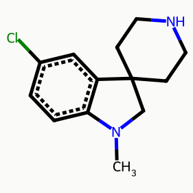 CN1CC2(CCNCC2)c2cc(Cl)ccc21